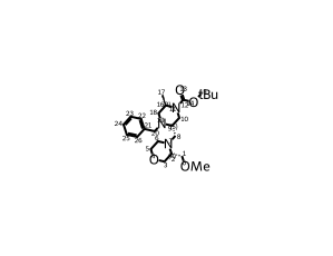 COC[C@@H]1COCCN1C[C@H]1CN(C(=O)OC(C)(C)C)[C@H](C)CN1Cc1ccccc1